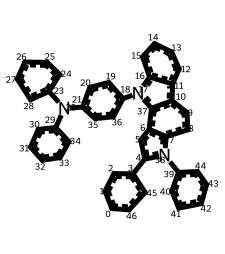 c1ccc(-c2cc3c(ccc4c5ccccc5n(-c5ccc(N(c6ccccc6)c6ccccc6)cc5)c43)n2-c2ccccc2)cc1